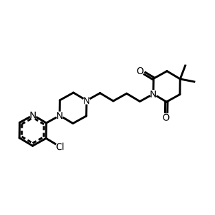 CC1(C)CC(=O)N(CCCCN2CCN(c3ncccc3Cl)CC2)C(=O)C1